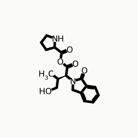 CC(CO)[C@@H](C(=O)OC(=O)C1CCCN1)N1Cc2ccccc2C1=O